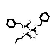 [CH2]CCNC(=N)N(C(=O)OCc1ccccc1)C(=O)OCc1ccccc1